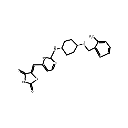 O=C1NC(=O)/C(=C/C2=CC=NC(N[C@H]3CC[C@H](NCc4ncccc4C(F)(F)F)CC3)N2)S1